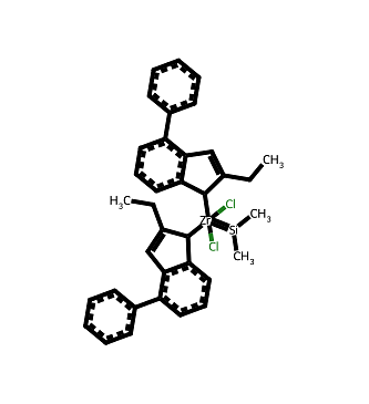 CCC1=Cc2c(-c3ccccc3)cccc2[CH]1[Zr]([Cl])([Cl])([CH]1C(CC)=Cc2c(-c3ccccc3)cccc21)=[Si](C)C